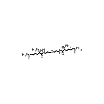 O=C(NCCCOCCCNC(=O)C(CCCCNP)NP)C(CCCCNP)NP